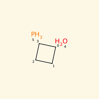 C1CCC1.O.P